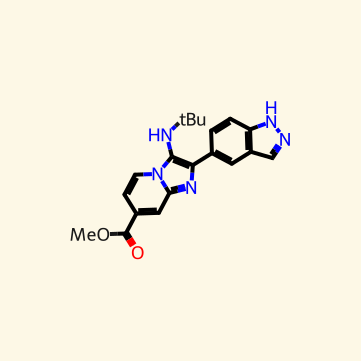 COC(=O)c1ccn2c(NC(C)(C)C)c(-c3ccc4[nH]ncc4c3)nc2c1